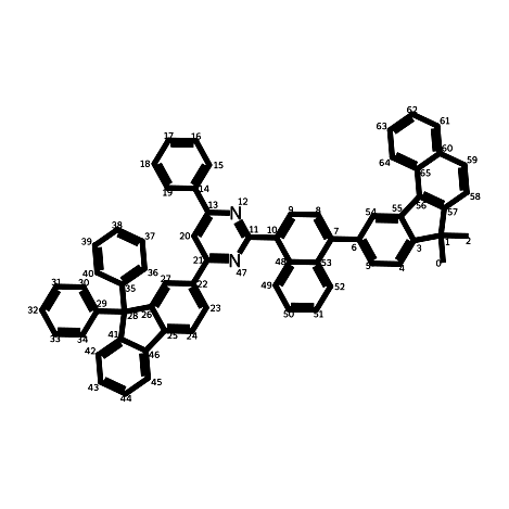 CC1(C)c2ccc(-c3ccc(-c4nc(-c5ccccc5)cc(-c5ccc6c(c5)C(c5ccccc5)(c5ccccc5)c5ccccc5-6)n4)c4ccccc34)cc2-c2c1ccc1ccccc21